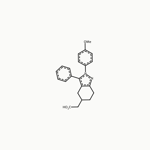 COc1ccc(-n2nc3c(c2-c2ccccc2)CC(CC(=O)O)CC3)cc1